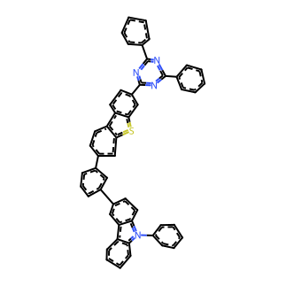 c1ccc(-c2nc(-c3ccccc3)nc(-c3ccc4c(c3)sc3cc(-c5cccc(-c6ccc7c(c6)c6ccccc6n7-c6ccccc6)c5)ccc34)n2)cc1